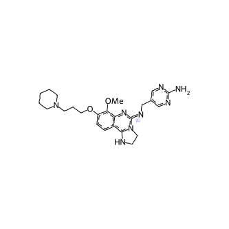 COc1c(OCCCN2CCCCC2)ccc2c3n(/c(=N/Cc4cnc(N)nc4)nc12)CCN3